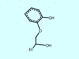 CCC(O)COc1ccccc1O